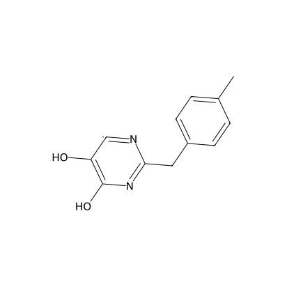 Cc1ccc(Cc2n[c]c(O)c(O)n2)cc1